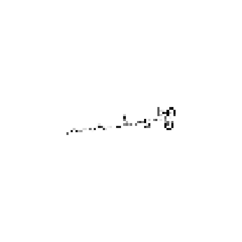 CC(C)=CCC/C(C)=C/CC/C(C)=C/CSCCS(=O)(=O)F